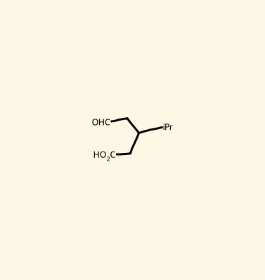 CC(C)C(CC=O)CC(=O)O